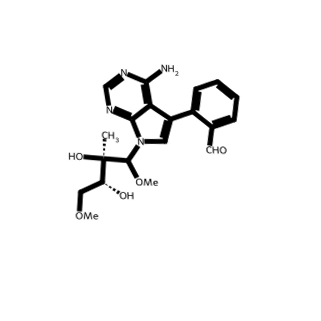 COC[C@@H](O)[C@@](C)(O)C(OC)n1cc(-c2ccccc2C=O)c2c(N)ncnc21